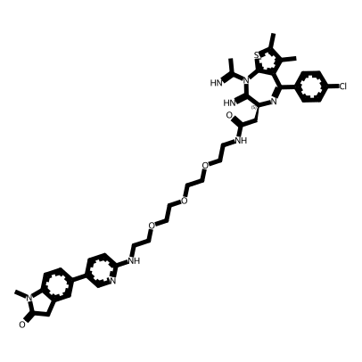 CC(=N)N1C(=N)[C@H](CC(=O)NCCOCCOCCOCCNc2ccc(-c3ccc4c(c3)CC(=O)N4C)cn2)N=C(c2ccc(Cl)cc2)c2c1sc(C)c2C